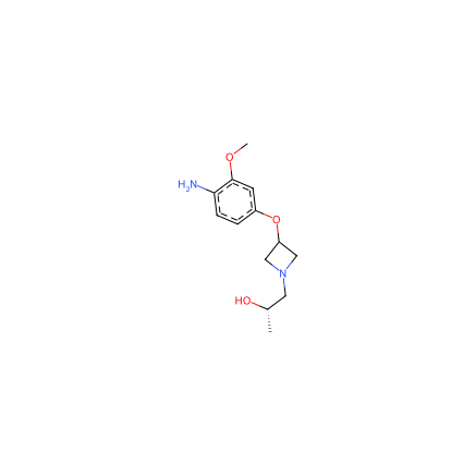 COc1cc(OC2CN(C[C@H](C)O)C2)ccc1N